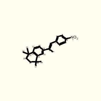 C/C(=C\c1ccc([N+](=O)[O-])cc1)c1ccc2c(c1)C(C)(C)CCC2(C)C